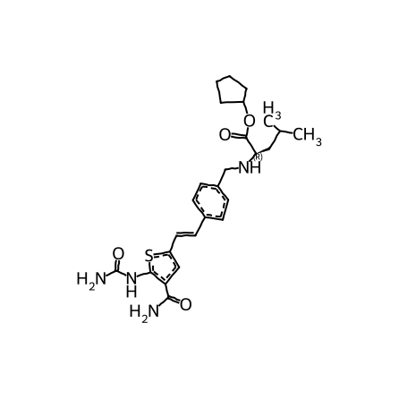 CC(C)C[C@@H](NCc1ccc(C=Cc2cc(C(N)=O)c(NC(N)=O)s2)cc1)C(=O)OC1CCCC1